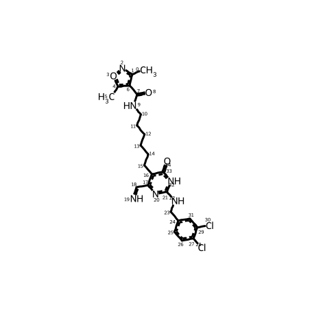 Cc1noc(C)c1C(=O)NCCCCCCc1c(C=N)nc(NCc2ccc(Cl)c(Cl)c2)[nH]c1=O